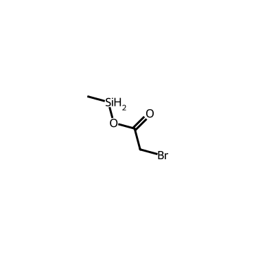 C[SiH2]OC(=O)CBr